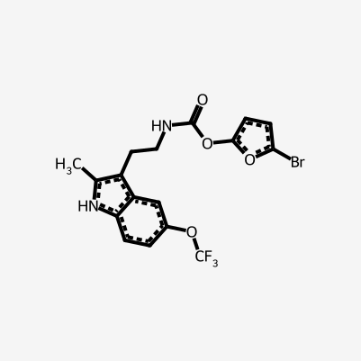 Cc1[nH]c2ccc(OC(F)(F)F)cc2c1CCNC(=O)Oc1ccc(Br)o1